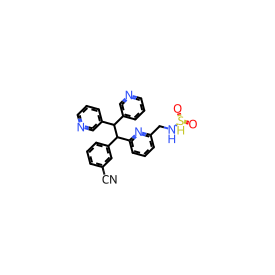 N#Cc1cccc(C(c2cccc(CN[SH](=O)=O)n2)C(c2cccnc2)c2cccnc2)c1